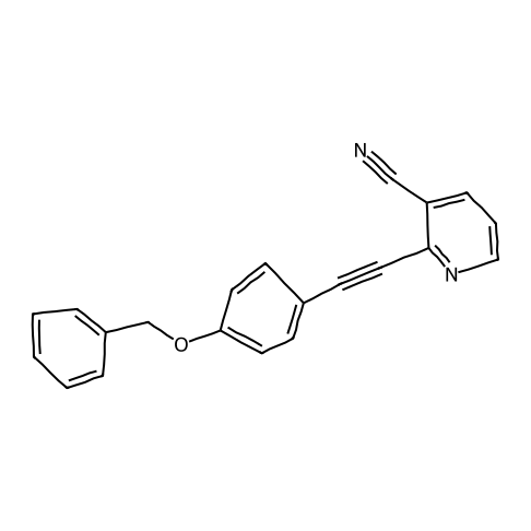 N#Cc1cccnc1C#Cc1ccc(OCc2ccccc2)cc1